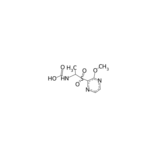 COc1nccnc1S(=O)(=O)C(C)NC(=O)O